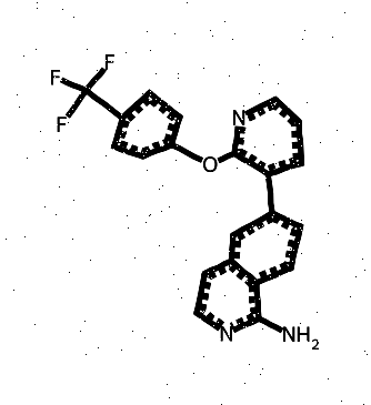 Nc1nccc2cc(-c3cccnc3Oc3ccc(C(F)(F)F)cc3)ccc12